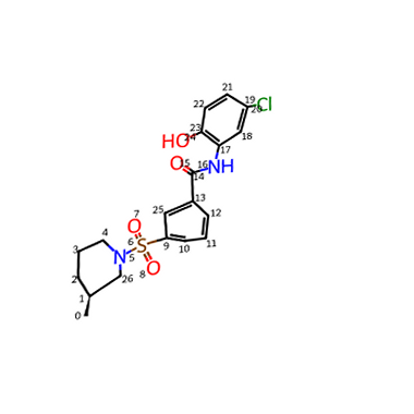 C[C@H]1CCCN(S(=O)(=O)c2cccc(C(=O)Nc3cc(Cl)ccc3O)c2)C1